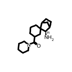 N[C@@H]1C2CCC(C2)C12CCCC(C(=O)N1CCCCC1)C2